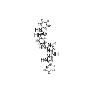 Cc1cc(Nc2cc(C3CCCCC3)[nH]n2)nc(Nc2ccc(NC(=O)Nc3ccccc3)cc2)n1